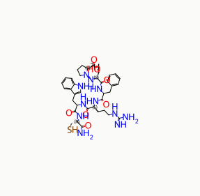 [2H]C(=O)[C@@H]1CCCN1N[C@@H](CO)C(=O)NC(Cc1ccccc1)C(=O)N[C@@H](CCCNC(=N)N)C(=O)NC(Cc1c[nH]c2ccccc12)C(=O)N[C@@H](CS)C(N)=O